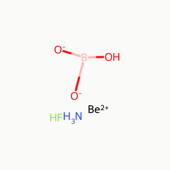 F.N.[Be+2].[O-]B([O-])O